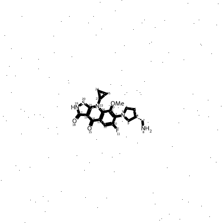 COc1c(N2CC[C@H](CN)C2)c(F)cc2c(=O)c3c(=O)[nH]sc3n(C3CC3)c12